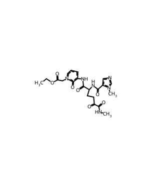 CCOC(=O)Cn1cccc(NC(=O)C(CCC(=O)C(=O)NC)NC(=O)c2cncn2C)c1=O